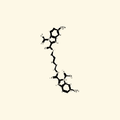 CCC(=O)n1c(C(=O)SCCCCCSC(=O)c2nc3ccc(OC)cc3n2C(=O)CC)nc2cc(OC)ccc21